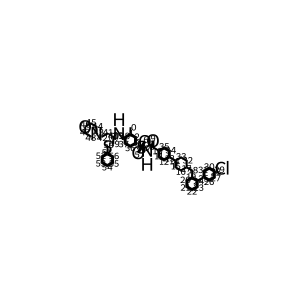 Cc1cc(S(=O)(=O)NC(=O)c2ccc(C3=CCC(Cc4ccccc4-c4ccc(Cl)cc4)CC3)cc2)ccc1N[C@H](CCN1CCOCC1)CSc1ccccc1